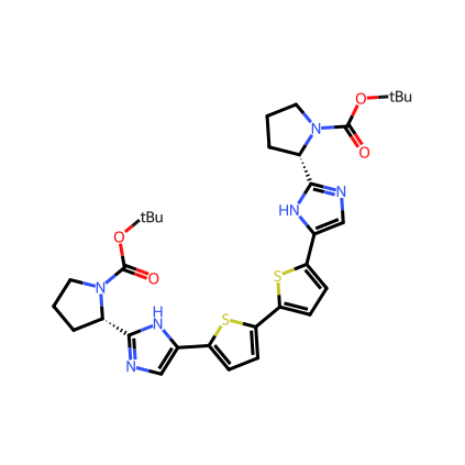 CC(C)(C)OC(=O)N1CCC[C@H]1c1ncc(-c2ccc(-c3ccc(-c4cnc([C@@H]5CCCN5C(=O)OC(C)(C)C)[nH]4)s3)s2)[nH]1